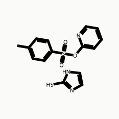 Cc1ccc(S(=O)(=O)Oc2ccccn2)cc1.Sc1ncc[nH]1